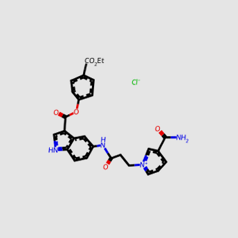 CCOC(=O)c1ccc(OC(=O)c2c[nH]c3ccc(NC(=O)CC[n+]4cccc(C(N)=O)c4)cc23)cc1.[Cl-]